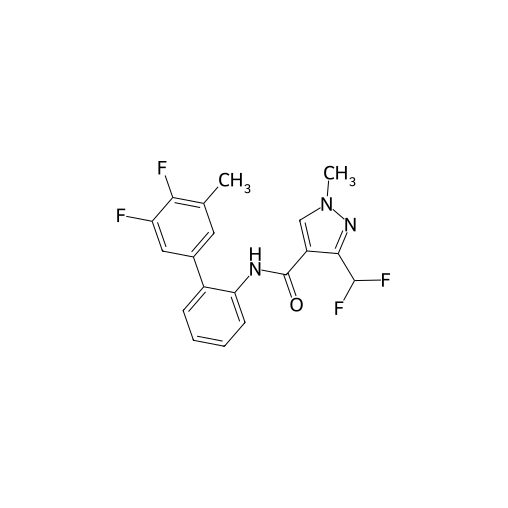 Cc1cc(-c2ccccc2NC(=O)c2cn(C)nc2C(F)F)cc(F)c1F